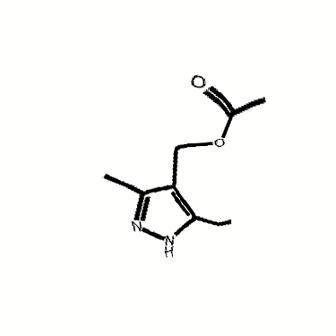 CC(=O)OCc1c(C)n[nH]c1C